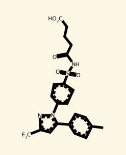 Cc1ccc(-c2cc(C(F)(F)F)nn2-c2ccc(S(=O)(=O)NC(=O)CCCC(=O)O)cc2)cc1